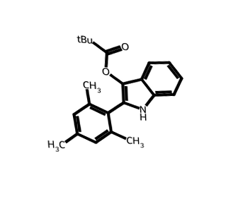 Cc1cc(C)c(-c2[nH]c3ccccc3c2OC(=O)C(C)(C)C)c(C)c1